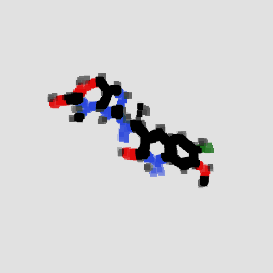 COc1cc2[nH]c(=O)c([C@@H](C)Nc3ncc4c(n3)N(C)C(=O)OC4)cc2cc1Cl